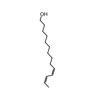 C/C=C\C=C/CCCCCCCCCO